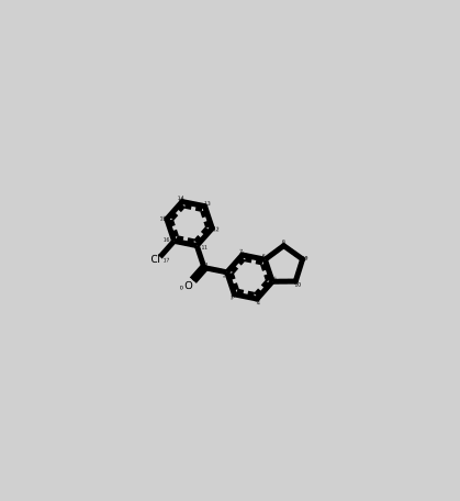 O=C(c1ccc2c(c1)CCC2)c1ccccc1Cl